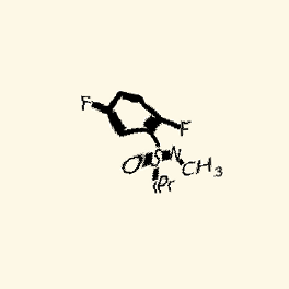 CN=S(=O)(c1cc(F)ccc1F)C(C)C